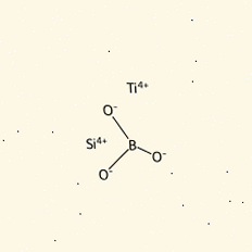 [O-]B([O-])[O-].[Si+4].[Ti+4]